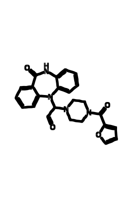 O=CC(N1CCN(C(=O)c2ccco2)CC1)N1c2ccccc2NC(=O)c2ccccc21